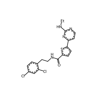 CCNc1nccc(-c2ccc(C(=O)NCCc3ccc(Cl)cc3Cl)s2)n1